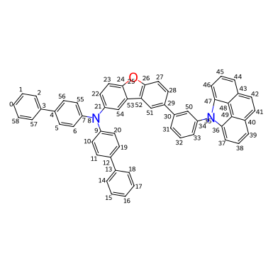 c1ccc(-c2ccc(N(c3ccc(-c4ccccc4)cc3)c3ccc4oc5ccc(-c6cccc(-n7c8cccc9ccc%10cccc7c%10c98)c6)cc5c4c3)cc2)cc1